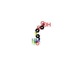 C[C@H](Cc1ccc(Sc2ccc(Oc3cccc(C(=O)O)c3)cc2)cc1)NC(=O)C(F)(F)F